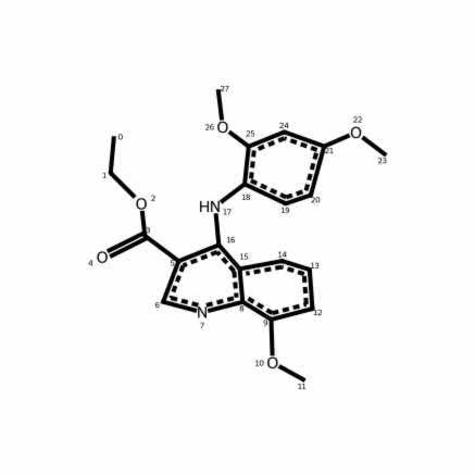 CCOC(=O)c1cnc2c(OC)cccc2c1Nc1ccc(OC)cc1OC